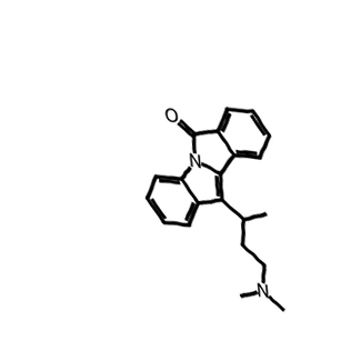 CC(CCN(C)C)c1c2n(c3ccccc13)C(=O)c1ccccc1-2